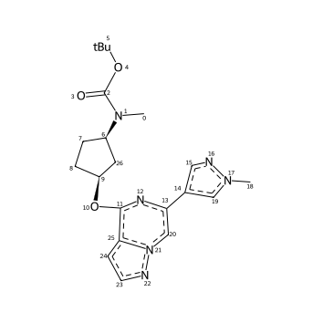 CN(C(=O)OC(C)(C)C)[C@@H]1CC[C@H](Oc2nc(-c3cnn(C)c3)cn3nccc23)C1